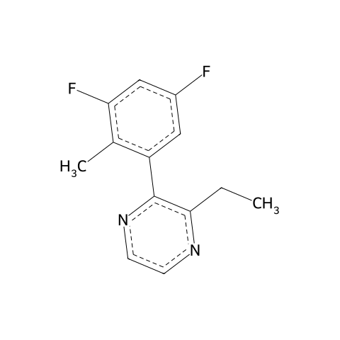 CCc1nccnc1-c1cc(F)cc(F)c1C